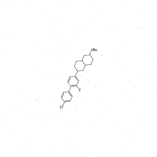 CCCCC1CCC2CC(c3ccc(-c4ccc(Cl)cc4)c(F)c3)CCC2C1